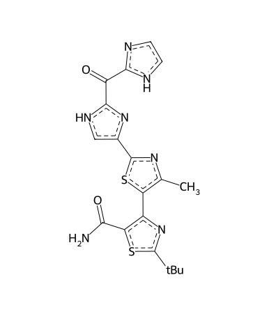 Cc1nc(-c2c[nH]c(C(=O)c3ncc[nH]3)n2)sc1-c1nc(C(C)(C)C)sc1C(N)=O